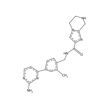 Cc1cc(-c2ccnc(N)n2)ccc1CNC(=O)c1cn2c(n1)CNCC2